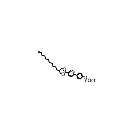 C=CCCCCCCCCCC1COC(c2ccc(-c3ccc(OCCCCCCCC)cc3)nc2)OC1